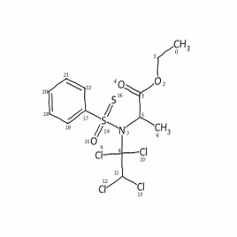 CCOC(=O)C(C)N(C(Cl)(Cl)C(Cl)Cl)S(=O)(=S)c1ccccc1